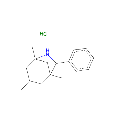 CC1CC2(C)CC(C)(C1)C(c1ccccc1)N2.Cl